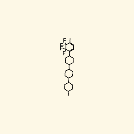 CC1=CC=C(C2CCC(C3CCC(C4CCC(C)CC4)CC3)CC2)C(F)(F)C1(F)F